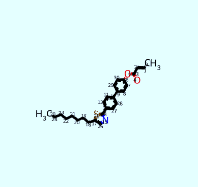 CC=CC(=O)Oc1ccc(-c2ccc(-c3ncc(CCCCCCCC)s3)cc2)cc1